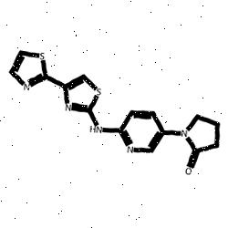 O=C1CCCN1c1ccc(Nc2nc(-c3nccs3)cs2)nc1